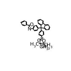 CC1(C)OB(c2ccc(C3(c4ccc5nc(-c6ccccc6)oc5c4)c4ccccc4-c4ccccc43)cc2)OC1(C)C